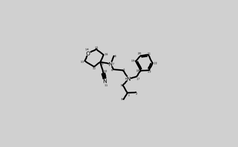 CC(C)CN(CCN(C)C1(C#N)CCOCC1)Cc1ccccc1